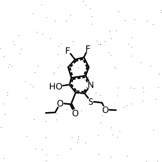 CCOC(=O)c1c(SCOC)nc2cc(F)c(F)cc2c1O